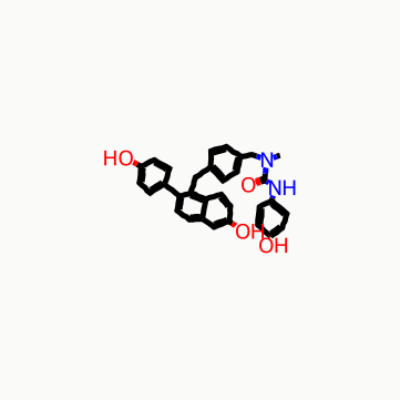 CN(Cc1ccc(Cc2c(-c3ccc(O)cc3)ccc3cc(O)ccc23)cc1)C(=O)Nc1ccc(O)cc1